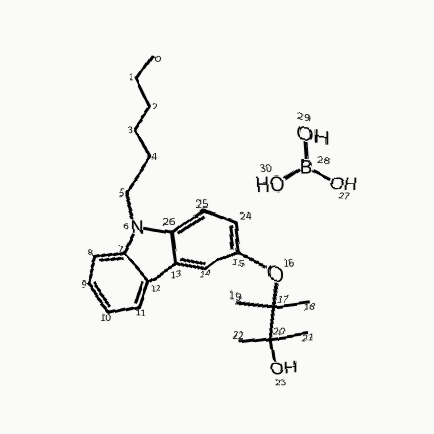 CCCCCCn1c2ccccc2c2cc(OC(C)(C)C(C)(C)O)ccc21.OB(O)O